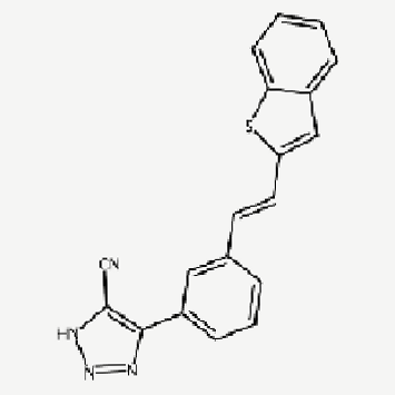 N#Cc1[nH]nnc1-c1cccc(/C=C/c2cc3ccccc3s2)c1